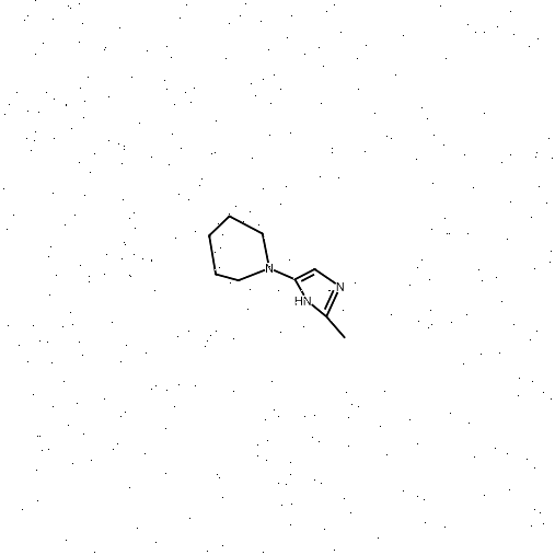 Cc1ncc(N2CCCCC2)[nH]1